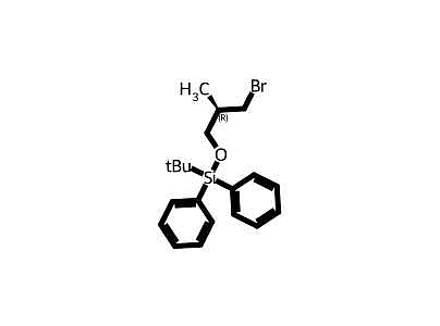 C[C@@H](CBr)CO[Si](c1ccccc1)(c1ccccc1)C(C)(C)C